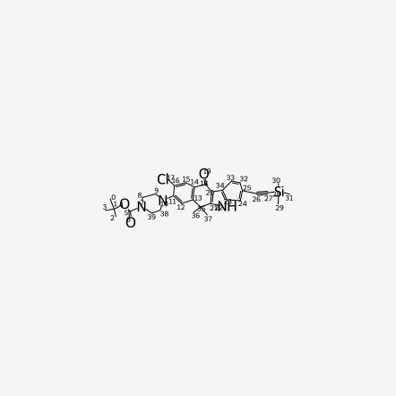 CC(C)(C)OC(=O)N1CCN(c2cc3c(cc2Cl)C(=O)c2c([nH]c4cc(C#C[Si](C)(C)C)ccc24)C3(C)C)CC1